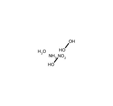 N.O.O=[N+]([O-])O.OO